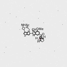 COc1cc(C(=O)N2C[C@H]3CC[C@@H]2[C@@H]3N)cc2nc(-c3cc4scc(C5CC(NC(C)=O)C5)c4n3CC3CC3)n(C)c12